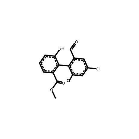 COC(=O)c1cccc(S)c1-c1c(Cl)cc(Cl)cc1C=O